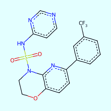 O=S(=O)(Nc1ccncn1)N1CCOc2ccc(-c3cccc(C(F)(F)F)c3)nc21